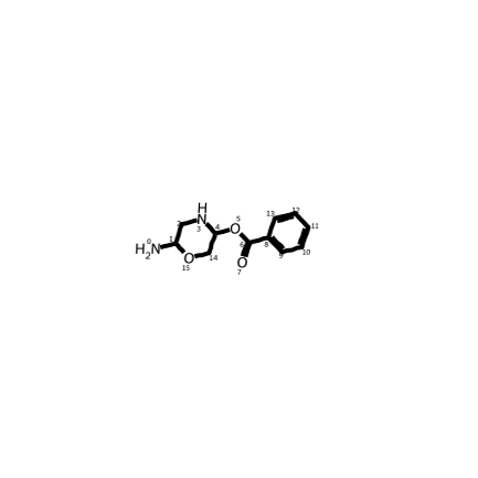 NC1CNC(OC(=O)c2ccccc2)CO1